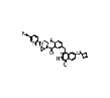 N#Cc1ccc(N2CCN(C(=O)c3cc(Cc4n[nH]c(=O)c5ccc(OC6CCC6)cc45)ccc3F)C3CC32)nc1